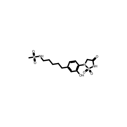 CS(=O)(=O)NCCCCCc1ccc(N2CC(=O)NS2(=O)=O)c(O)c1